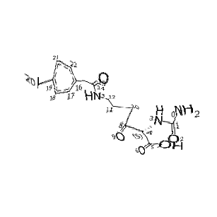 NC(=O)N[C@H](C(=O)O)C(=O)CCCNC(=O)c1ccc(I)cc1